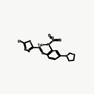 CCc1nnc(N=Nc2ccc(N3CCCC3)cc2N([SH](=O)=O)C(F)(F)F)s1